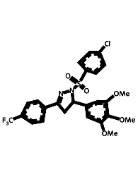 COc1cc(C2CC(c3ccc(C(F)(F)F)cc3)=NN2S(=O)(=O)c2ccc(Cl)cc2)cc(OC)c1OC